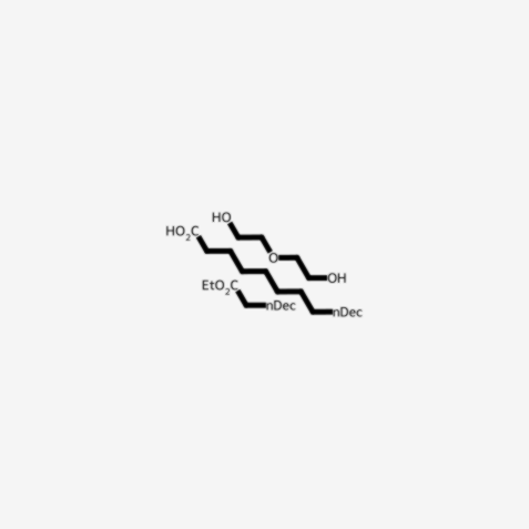 CCCCCCCCCCCC(=O)OCC.CCCCCCCCCCCCCCCCCC(=O)O.OCCOCCO